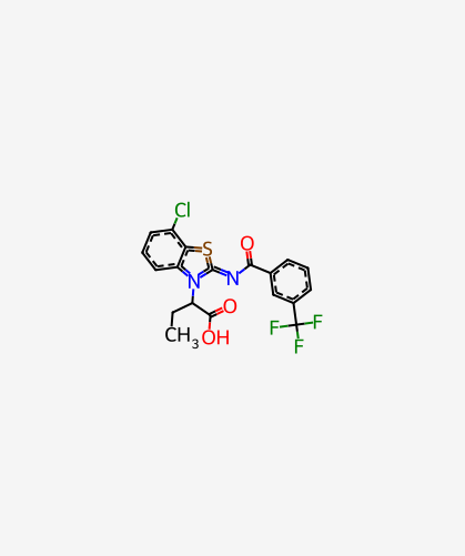 CCC(C(=O)O)n1c(=NC(=O)c2cccc(C(F)(F)F)c2)sc2c(Cl)cccc21